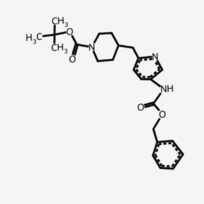 CC(C)(C)OC(=O)N1CCC(Cc2ccc(NC(=O)OCc3ccccc3)cn2)CC1